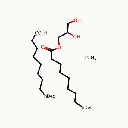 CCCCCCCCCCCCCCCCCC(=O)O.CCCCCCCCCCCCCCCCCC(=O)OCC(O)CO.[CaH2]